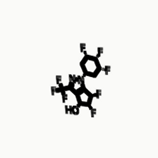 O[C@H]1c2c(C(F)(F)F)nn([C@H]3C[C@@H](F)[C@@H](F)[C@@H](F)C3)c2[C@@H](F)[C@H]1F